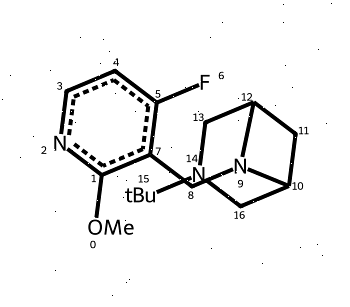 COc1nccc(F)c1CN1C2CC1CN(C(C)(C)C)C2